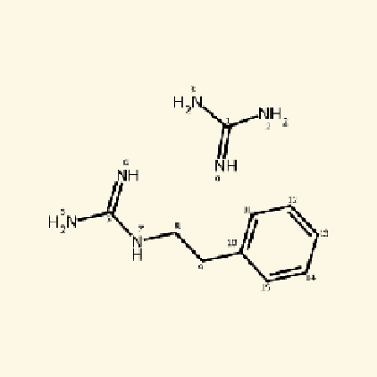 N=C(N)N.N=C(N)NCCc1ccccc1